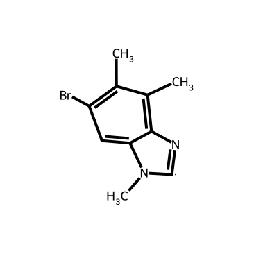 Cc1c(Br)cc2c(n[c]n2C)c1C